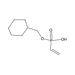 C=CP(=O)(O)OCC1CCCCC1